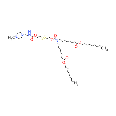 CCCCCCCCCOC(=O)CCCCCCCN(CCCCCCCC(=O)OCCCCCCCCC)C(=O)OCCSSCCOC(=O)NCCN1CCN(C)CC1